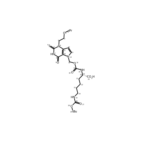 CC(C)OCCn1c(=S)[nH]c(=O)c2c1ccn2COC(=O)N[C@@H](CCCCNC(=O)OC(C)(C)C)C(=O)O